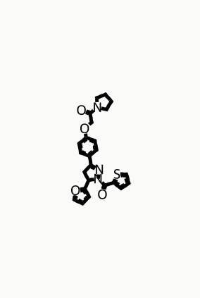 O=C(COc1ccc(C2=NN(C(=O)c3cccs3)C(c3ccco3)C2)cc1)N1CCCC1